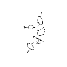 O=S(=O)(NCc1ccc(F)cc1)N1CCOC(C(c2ccc(F)cc2)c2ccc(F)cc2)C1